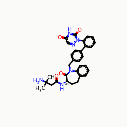 CC(C)(N)CC(=O)N[C@@H]1CCc2ccccc2N(Cc2ccc(-c3ccccc3-n3ncc(=O)[nH]c3=O)cc2)C1=O